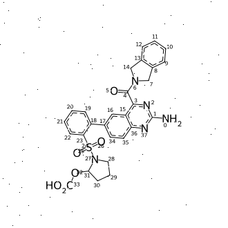 Nc1nc(C(=O)N2Cc3ccccc3C2)c2cc(-c3ccccc3S(=O)(=O)N3CCCC3OC(=O)O)ccc2n1